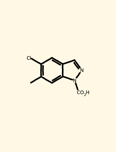 Cc1cc2c(cnn2C(=O)O)cc1Cl